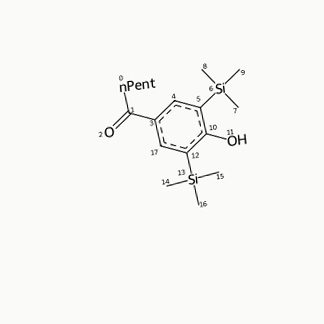 CCCCCC(=O)c1cc([Si](C)(C)C)c(O)c([Si](C)(C)C)c1